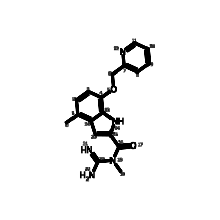 Cc1ccc(OCc2ccccn2)c2[nH]c(C(=O)N(C)C(=N)N)cc12